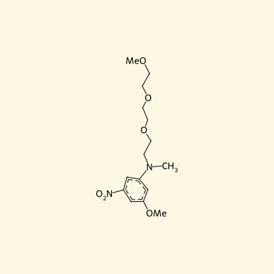 COCCOCCOCCN(C)c1cc(OC)cc([N+](=O)[O-])c1